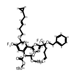 C=CCC[C@@](OCc1ccccc1)(c1nnc(-c2nc(OCCC=CCC3CC3)c(C(F)(F)F)cc2N(C(=O)OC(C)(C)C)C(=O)OC(C)(C)C)o1)C(F)(F)F